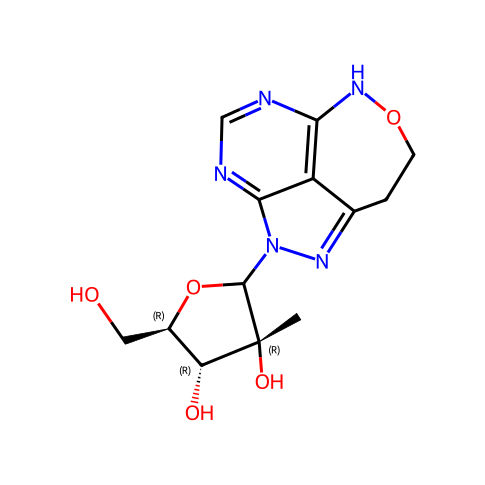 C[C@]1(O)C(n2nc3c4c(ncnc42)NOCC3)O[C@H](CO)[C@H]1O